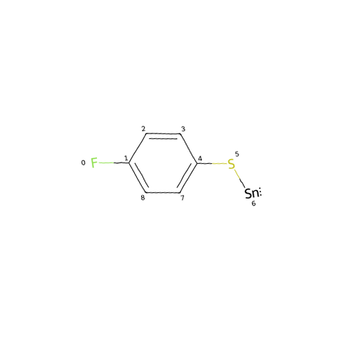 Fc1ccc([S][Sn])cc1